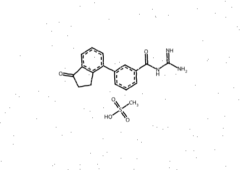 CS(=O)(=O)O.N=C(N)NC(=O)c1cccc(-c2cccc3c2CCC3=O)c1